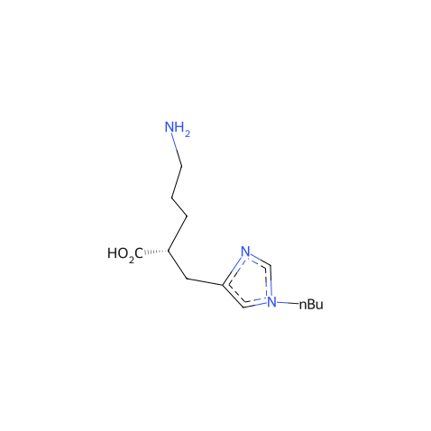 CCCCn1cnc(C[C@@H](CCCN)C(=O)O)c1